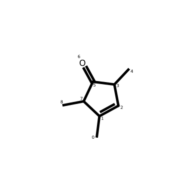 CC1=CC(C)C(=O)C1C